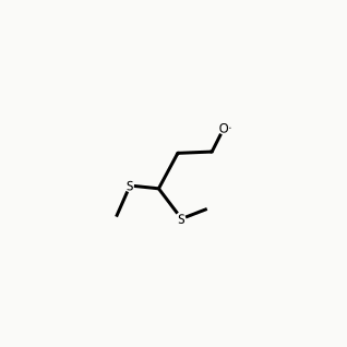 CSC(CC[O])SC